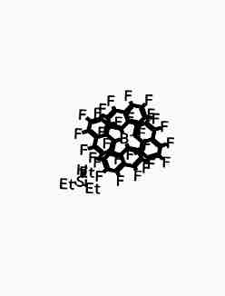 CC[SiH](CC)CC.Fc1c(F)c(F)c2c([B-](c3c(F)c(F)c(F)c4c(F)c(F)c(F)c(F)c34)(c3c(F)c(F)c(F)c4c(F)c(F)c(F)c(F)c34)c3c(F)c(F)c(F)c4c(F)c(F)c(F)c(F)c34)c(F)c(F)c(F)c2c1F